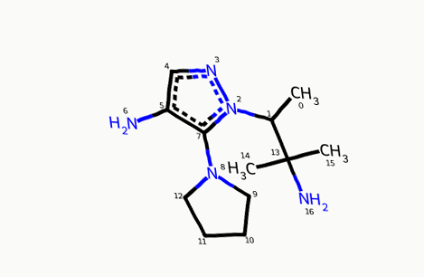 CC(n1ncc(N)c1N1CCCC1)C(C)(C)N